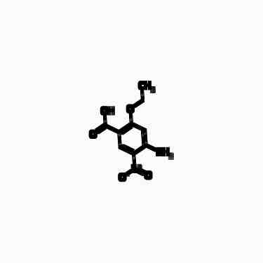 CCOc1cc(N)c([N+](=O)[O-])cc1C(=O)O